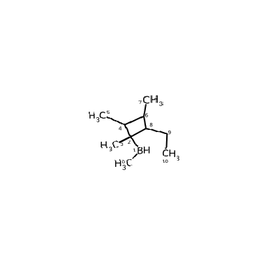 CBC1(C)C(C)C(C)C1CC